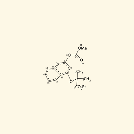 CCOC(=O)C(C)(C)Oc1cc(OC(=O)OC)cc2ccccc12